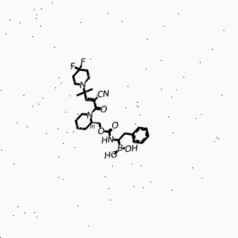 CC(C)(C=C(C#N)C(=O)N1CCCC[C@@H]1COC(=O)NC(Cc1ccccc1)B(O)O)N1CCC(F)(F)CC1